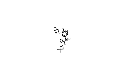 Cc1ncc(NC(=O)CN2CC(C)(C)C2)cc1NC=O